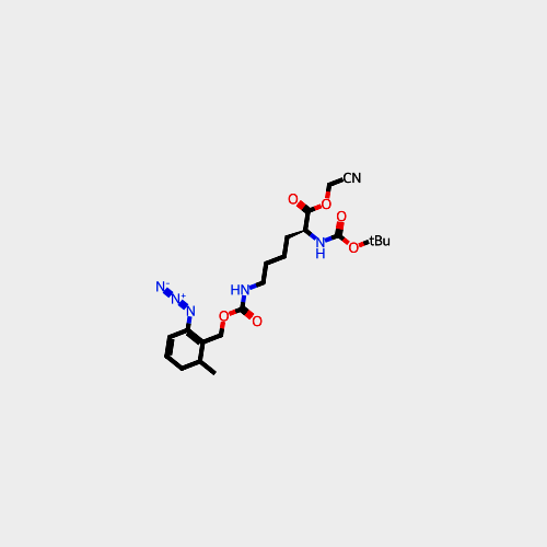 CC1CC=CC(N=[N+]=[N-])=C1COC(=O)NCCCC[C@H](NC(=O)OC(C)(C)C)C(=O)OCC#N